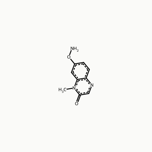 Cn1c(=O)cnc2ccc(ON)cc21